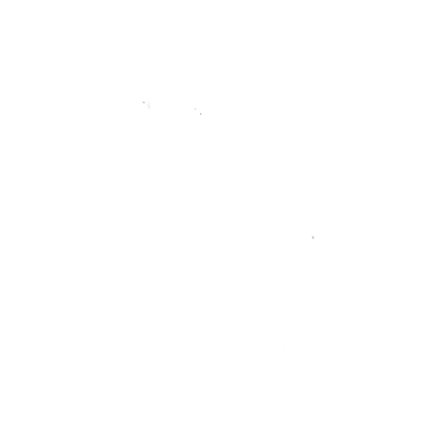 CN1CCN(Cc2ccc(COc3ccc(C=O)cc3O)cc2)CC1